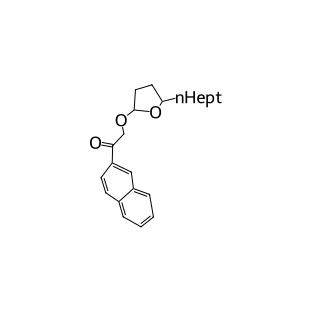 CCCCCCCC1CCC(OCC(=O)c2ccc3ccccc3c2)O1